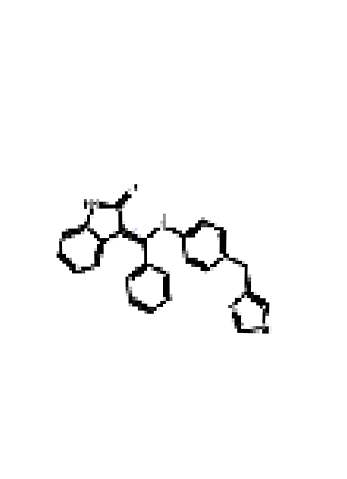 O=C1Nc2ccccc2/C1=C(/Nc1ccc(Cc2c[nH]cn2)cc1)c1ccccc1